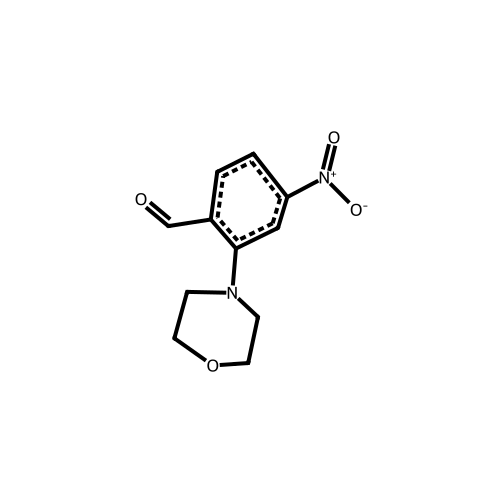 O=Cc1ccc([N+](=O)[O-])cc1N1CCOCC1